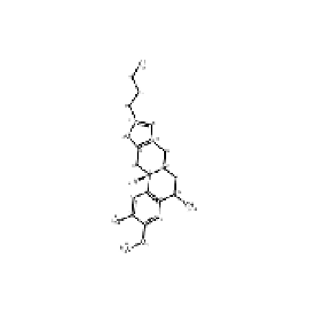 COc1cc2c(cc1O)[C@@H]1Cc3oc(CCCCl)cc3CN1CC2C